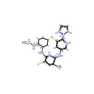 N#Cc1cc(F)c(N[C@@H]2CCCC[C@@H]2NC(=O)O)nc1Nc1cnc(-n2nccn2)c(F)c1